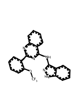 FC(F)(F)Oc1ccccc1-c1nc(Nc2n[nH]c3ccccc23)c2ccccc2n1